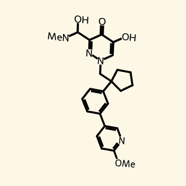 CNC(O)c1nn(CC2(c3cccc(-c4ccc(OC)nc4)c3)CCCC2)cc(O)c1=O